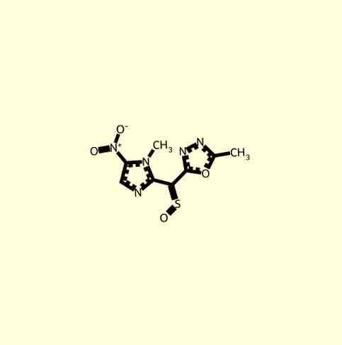 Cc1nnc(C(=S=O)c2ncc([N+](=O)[O-])n2C)o1